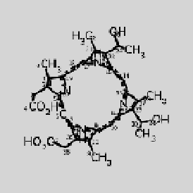 CC1=C(CC(=O)O)c2cc3[nH]c(cc4nc(cc5[nH]c(cc1n2)c(C)c5C(C)O)C(C)=C4C(C)O)c(C)c3CC(=O)O